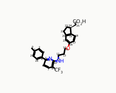 Cc1ccc(-c2ccc(C(F)(F)F)c(NCCCOc3ccc4c(c3)CC[C@H]4CC(=O)O)n2)cc1